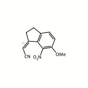 COc1ccc2c(c1[N+](=O)[O-])/C(=C\C#N)CC2